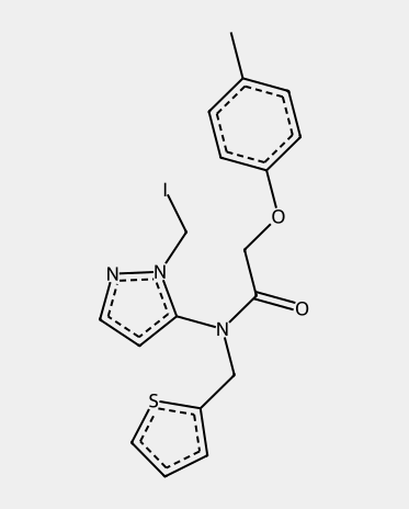 Cc1ccc(OCC(=O)N(Cc2cccs2)c2ccnn2CI)cc1